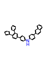 c1ccc(-c2ccc(-c3ccc(Nc4ccc(-c5ccc6ccccc6c5)cc4)cc3)cc2-c2ccccc2)cc1